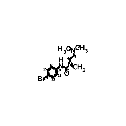 CN(C)CCN(C)C(=O)Nc1ccc(Br)cc1